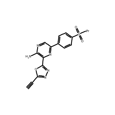 C#Cc1nnc(-c2nc(-c3ccc(S(=O)(=O)C(C)C)cc3)cnc2N)o1